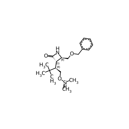 C[SiH](C)OC[C@H]([C@@H]1C(=O)N[C@H]1COCc1ccccc1)C(C)(C)C